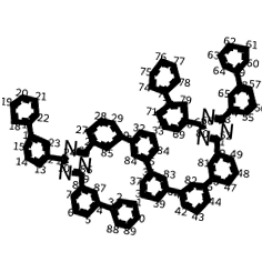 c1ccc(-c2cccc(-c3nc(-c4cccc(-c5ccccc5)c4)nc(-c4cccc(-c5cccc(-c6cccc(-c7cccc(-c8cccc(-c9nc(-c%10cccc(-c%11ccccc%11)c%10)nc(-c%10cccc(-c%11ccccc%11)c%10)n9)c8)c7)c6)c5)c4)n3)c2)cc1